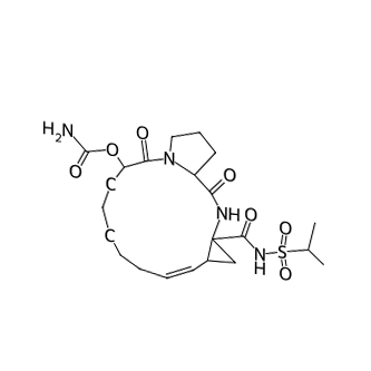 CC(C)S(=O)(=O)NC(=O)C12CC1/C=C\CCCCCC(OC(N)=O)C(=O)N1CCCC1C(=O)N2